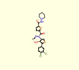 CC=NN(C(=O)c1ccc(C(=O)NN2CCCCC2)s1)c1csc(-c2ccc(Cl)c(Cl)c2)c1O